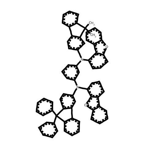 CC1(C)c2ccccc2-c2ccc(N(c3cccc(N(c4ccc5c(c4)-c4ccccc4C5(c4ccccc4)c4ccccc4)c4cccc5c4oc4ccccc45)c3)c3cccc4oc5ccccc5c34)cc21